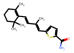 CC1=C(C=C/C(C)=C/c2ccc(C(N)=O)s2)C(C)(C)CCC1